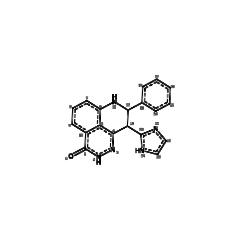 O=c1[nH]nc2c3c(cccc13)NC(c1ccccc1)C2c1ncc[nH]1